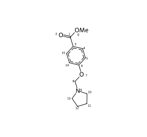 COC(=O)c1ccc(OCN2CCCC2)cc1